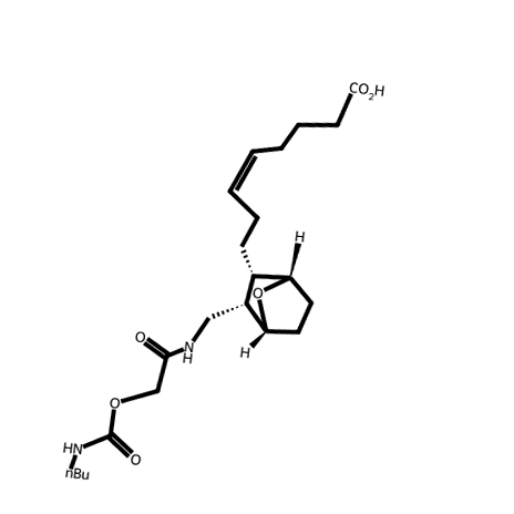 CCCCNC(=O)OCC(=O)NC[C@@H]1[C@H](CC/C=C\CCCC(=O)O)[C@@H]2CC[C@H]1O2